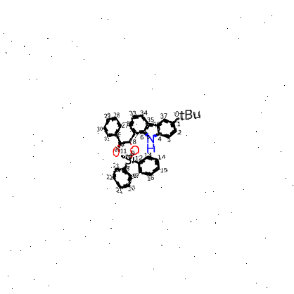 CC(C)(C)c1ccc2[nH]c3c([C@H](O[Si](C)(c4ccccc4)c4ccccc4)C(=O)c4ccccc4)cccc3c2c1